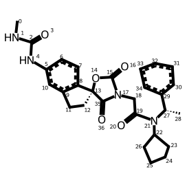 CNC(=O)Nc1ccc2c(c1)CC[C@@]21OC(=O)N(CC(=O)N(C2CCCC2)[C@@H](C)c2ccccc2)C1=O